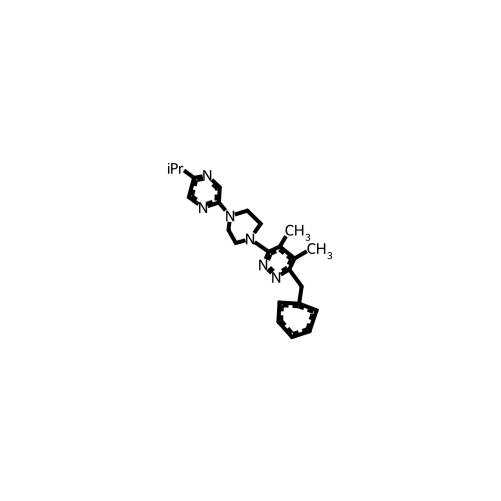 Cc1c(Cc2ccccc2)nnc(N2CCN(c3cnc(C(C)C)cn3)CC2)c1C